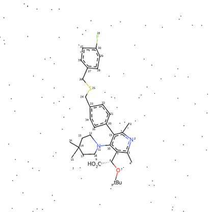 Cc1nc(C)c([C@H](OC(C)(C)C)C(=O)O)c(N2CCC(C)(C)CC2)c1-c1ccc(CSCc2ccc(F)cc2)cc1